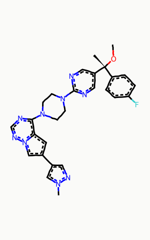 CO[C@](C)(c1ccc(F)cc1)c1cnc(N2CCN(c3ncnn4cc(-c5cnn(C)c5)cc34)CC2)nc1